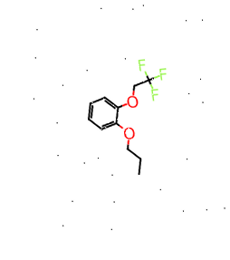 CCCOc1ccccc1OCC(F)(F)F